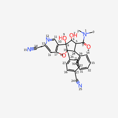 CN(C)C(=O)C1C(O)C2(O)c3cnc(C#N)cc3OC2(c2ccc(C#N)cc2)C1c1ccccc1